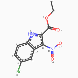 CCOC(=O)c1[nH]c2ccc(Br)cc2c1[N+](=O)[O-]